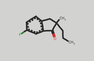 CCCC1(C)Cc2ccc(F)cc2C1=O